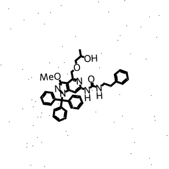 COc1nn(C(c2ccccc2)(c2ccccc2)c2ccccc2)c2cc(NC(=O)NCCc3ccccc3)nc(COCC(C)O)c12